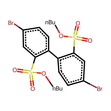 CCCCOS(=O)(=O)c1cc(Br)ccc1-c1ccc(Br)cc1S(=O)(=O)OCCCC